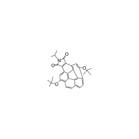 CC(C)n1c(=O)c2c3cc(OC(C)(C)C)c4ccc5ccc6c(OC(C)(C)C)cc(c2c1=O)c1c6c5c4c31